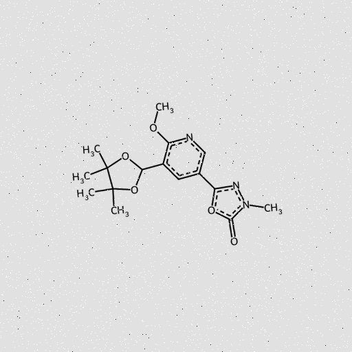 COc1ncc(-c2nn(C)c(=O)o2)cc1C1OC(C)(C)C(C)(C)O1